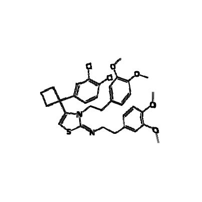 COc1ccc(CCN=c2scc(C3(c4ccc(Cl)c(Cl)c4)CCC3)n2CCc2ccc(OC)c(OC)c2)cc1OC